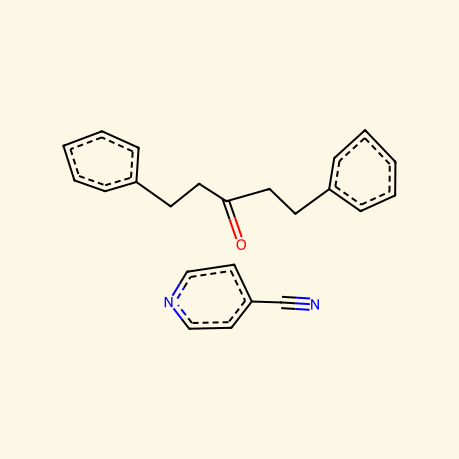 N#Cc1ccncc1.O=C(CCc1ccccc1)CCc1ccccc1